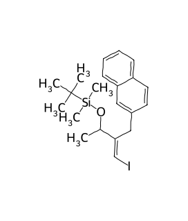 CC(O[Si](C)(C)C(C)(C)C)/C(=C/I)Cc1ccc2ccccc2c1